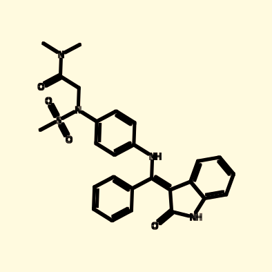 CN(C)C(=O)CN(c1ccc(NC(=C2C(=O)Nc3ccccc32)c2ccccc2)cc1)S(C)(=O)=O